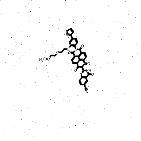 COCCOCCOc1cc(C2=CCC=C2)ccc1N1C(=O)c2ccc3c4c(ccc(c24)C1=O)C(=O)C(c1nc2ccc(C#N)cc2c(=O)[nH]1)C3=O